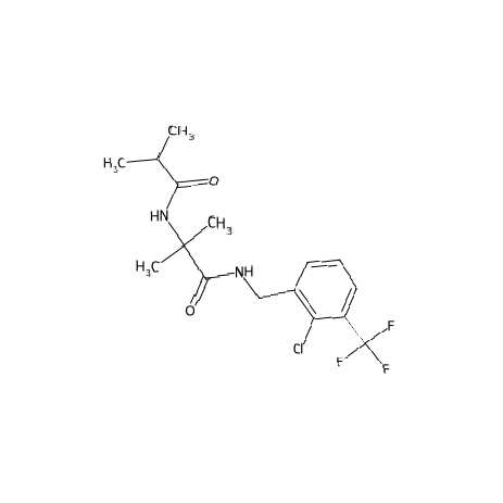 CC(C)C(=O)NC(C)(C)C(=O)NCc1cccc(C(F)(F)F)c1Cl